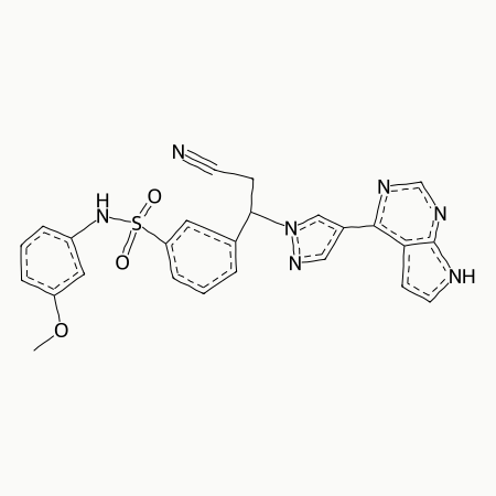 COc1cccc(NS(=O)(=O)c2cccc(C(CC#N)n3cc(-c4ncnc5[nH]ccc45)cn3)c2)c1